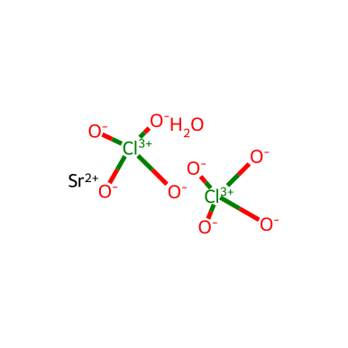 O.[O-][Cl+3]([O-])([O-])[O-].[O-][Cl+3]([O-])([O-])[O-].[Sr+2]